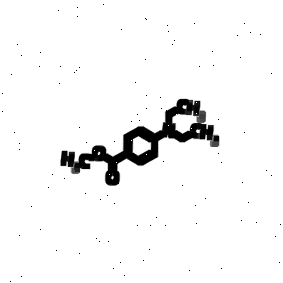 CCN(CC)c1ccc(C(=O)OC)cc1